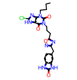 CCCCn1c(=O)n(CCCc2nc(Cc3ccc4[nH]c(=O)[nH]c4c3)no2)c(=O)c2[nH]c(Cl)nc21